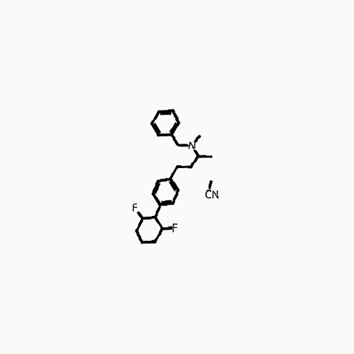 CC#N.CC(CCc1ccc(C2C(F)CCCC2F)cc1)N(C)Cc1ccccc1